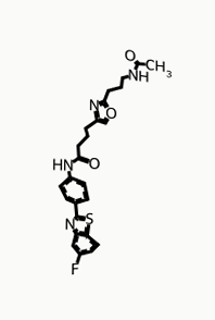 CC(=O)NCCCc1nc(CCCC(=O)Nc2ccc(-c3nc4cc(F)ccc4s3)cc2)co1